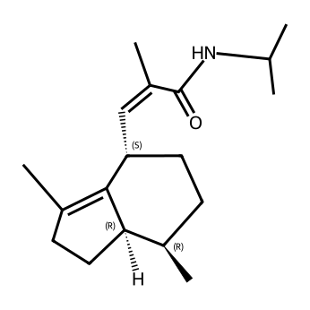 CC(=C[C@@H]1CC[C@@H](C)[C@H]2CCC(C)=C12)C(=O)NC(C)C